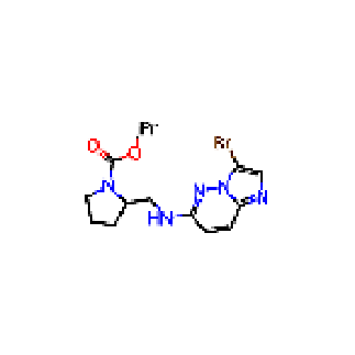 CC(C)OC(=O)N1CCCC1CNc1ccc2ncc(Br)n2n1